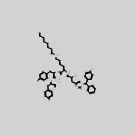 CCCCCCCC(=O)NCCCCC(NC(=O)C(N)Cc1cn(C(c2ccccc2)c2ccc(O)cc2)cn1)C(=O)NC(Cc1ccc(C)cc1)C(=O)NC(Cc1ccc(O)cc1)C(=O)O